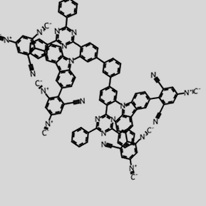 [C-]#[N+]c1cc(C#N)c(-c2ccc3c(c2)c2cc(-c4c(C#N)cc([N+]#[C-])cc4[N+]#[C-])ccc2n3-c2cc(-c3cccc(-c4ccc(-c5nc(-c6ccccc6)nc(-c6ccccc6)n5)c(-n5c6ccc(-c7c(C#N)cc([N+]#[C-])cc7[N+]#[C-])cc6c6cc(-c7c(C#N)cc([N+]#[C-])cc7[N+]#[C-])ccc65)c4)c3)ccc2-c2nc(-c3ccccc3)nc(-c3ccccc3)n2)c(C#N)c1